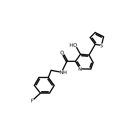 O=C(NCc1ccc(F)cc1)c1nccc(-c2cccs2)c1O